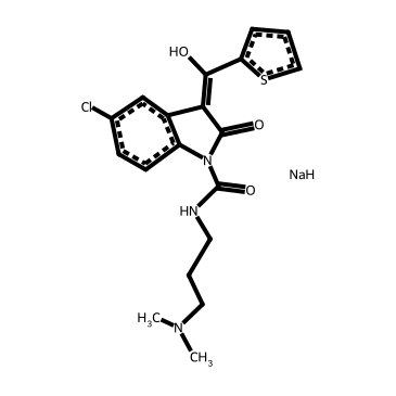 CN(C)CCCNC(=O)N1C(=O)C(=C(O)c2cccs2)c2cc(Cl)ccc21.[NaH]